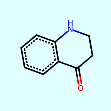 O=C1CCNc2c[c]ccc21